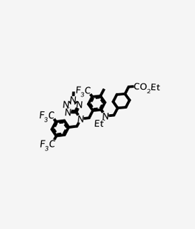 CCOC(=O)CC1CCC(CN(CC)c2cc(C)c(C(F)(F)F)cc2CN(Cc2cc(C(F)(F)F)cc(C(F)(F)F)c2)c2nnn(C)n2)CC1